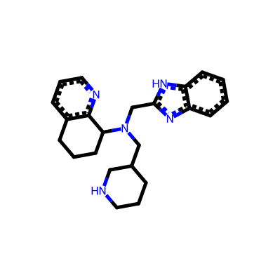 c1cnc2c(c1)CCCC2N(Cc1nc2ccccc2[nH]1)CC1CCCNC1